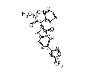 CN(C)C(=O)C(c1ccccc1)N1Cc2ccc(-c3noc(C(F)(F)F)n3)cc2C1=O